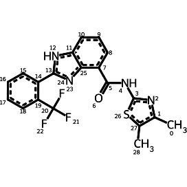 Cc1nc(NC(=O)c2cccc3[nH]c(-c4ccccc4C(F)(F)F)nc23)sc1C